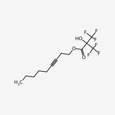 CCCCCC#CCCOC(=O)C(O)(C(F)(F)F)C(F)(F)F